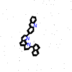 c1ccc2nc3ccc(-c4ccc5ccc6ccc(-c7cccc8ccccc78)nc6c5n4)cc3cc2c1